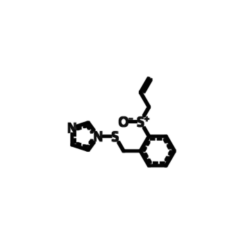 C=CC[S+]([O-])c1ccccc1CSn1ccnc1